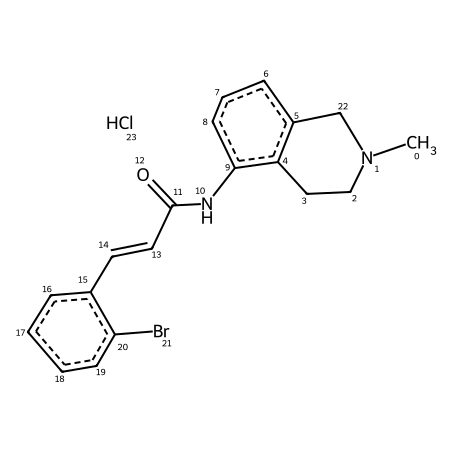 CN1CCc2c(cccc2NC(=O)/C=C/c2ccccc2Br)C1.Cl